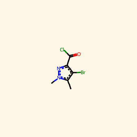 Cc1c(Br)c(C(=O)Cl)nn1C